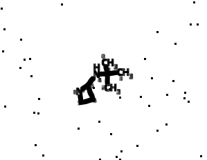 CC(C)(C)NC1CC[N]1